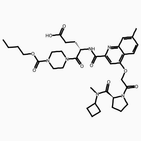 CCCCOC(=O)N1CCN(C(=O)[C@H](CCC(=O)O)NC(=O)c2cc(OCC(=O)N3CCC[C@H]3C(=O)N(C)C3CCC3)c3ccc(C)cc3n2)CC1